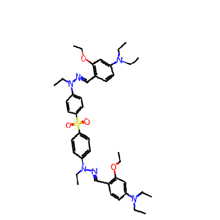 CCOc1cc(N(CC)CC)ccc1/C=N/N(CC)c1ccc(S(=O)(=O)c2ccc(N(CC)/N=C/c3ccc(N(CC)CC)cc3OCC)cc2)cc1